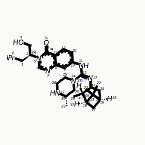 CC(C)C[C@@H](CO)n1cnc2cc(N/C(=N/C3C[C@H]4C[C@@H]([C@@H]3C)C4(C)C)N3CCN[C@@H](C)C3)ccc2c1=O